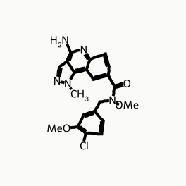 COc1cc(CN(OC)C(=O)c2ccc3nc(N)c4cnn(C)c4c3c2)ccc1Cl